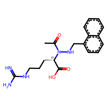 CC(=O)N(NCc1cccc2ccccc12)[C@@H](CCCNC(=N)N)C(=O)O